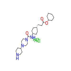 Cl.Cl.O=C(CC[C@H]1CC[C@H](NC(=O)N2CCN(C3CCNCC3)CC2)CC1)OC1CCCCC1